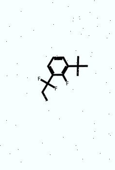 CCC(F)(F)c1cccc(C(C)(C)C)c1F